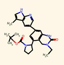 CCN1Cc2c(cc(-c3cnc4[nH]cc(C)c4c3)cc2C2CCCN2C(=O)OC(C)(C)C)NC1=O